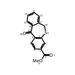 COC(=O)c1ccc2c(c1)SCc1ccccc1C2=O